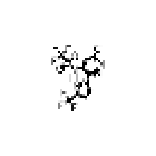 O=S(=O)(Nc1cc(Cl)nnc1-n1ccc(C(F)(F)F)n1)C(F)(F)F